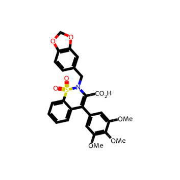 COc1cc(C2=C(C(=O)O)N(Cc3ccc4c(c3)OCO4)S(=O)(=O)c3ccccc32)cc(OC)c1OC